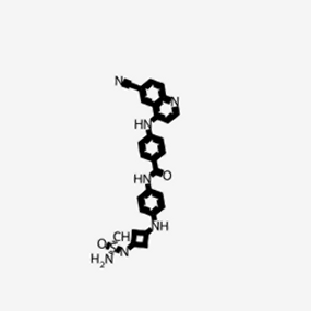 CS(N)(=O)=NC1CC(Nc2ccc(NC(=O)c3ccc(Nc4ccnc5ccc(C#N)cc45)cc3)cc2)C1